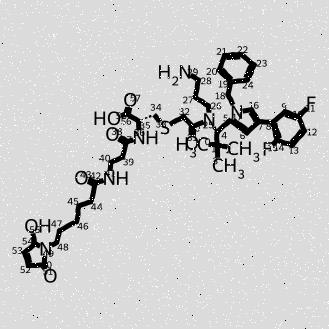 CC(C)(C)[C@H](c1cc(-c2cc(F)ccc2F)cn1Cc1ccccc1)N(CCCN)C(=O)CSC[C@H](NC(=O)CCNC(=O)CCCCCN1C(=O)C=CC1O)C(=O)O